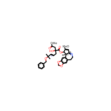 COC(=O)CC(O)(C/C=C/C(C)(C)OCc1ccccc1)C(=O)OC1C(OC)=C[C@]23CCCN2CCc2cc4c(cc2[C@H]13)OCO4